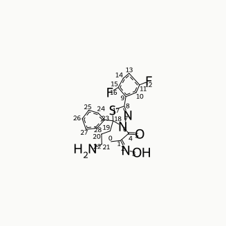 C/C(=N/O)C(=O)N1N=C(c2cc(F)ccc2F)SC1(CCCN)c1ccccc1